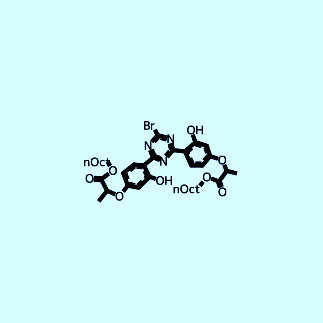 CCCCCCCCOC(=O)C(C)Oc1ccc(-c2nc(Br)nc(-c3ccc(OC(C)C(=O)OCCCCCCCC)cc3O)n2)c(O)c1